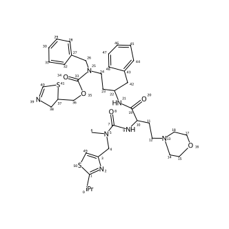 CC(C)c1nc(CN(C)C(=O)NC(CCN2CCOCC2)C(=O)NC(CCN(Cc2ccccc2)C(=O)OCC2CN=CS2)Cc2ccccc2)cs1